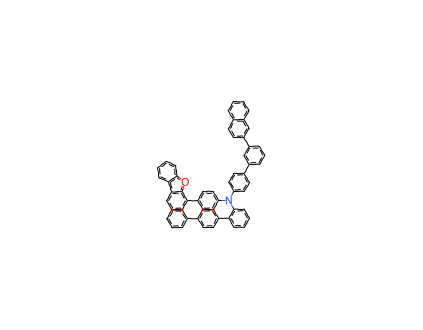 c1ccc(-c2ccc(-c3ccccc3N(c3ccc(-c4cccc(-c5ccc6ccccc6c5)c4)cc3)c3ccc(-c4cccc5c4oc4ccccc45)cc3)cc2)cc1